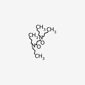 CCCCN(CCCC)C(=O)CC(=O)N(CCCC)CCCC